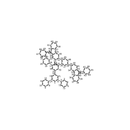 c1ccc(-c2cc(-c3ccccc3)cc(-c3cc(-c4ccccc4)nc(-c4cc(-c5ccc6c(c5)c5ccccc5n6-c5ccccc5)ccc4-c4ccc5c(c4)c4ccccc4n5-c4ccccc4)c3)c2)cc1